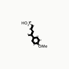 COc1ccc(/C(C)=C/C=C/C(=O)O)cc1